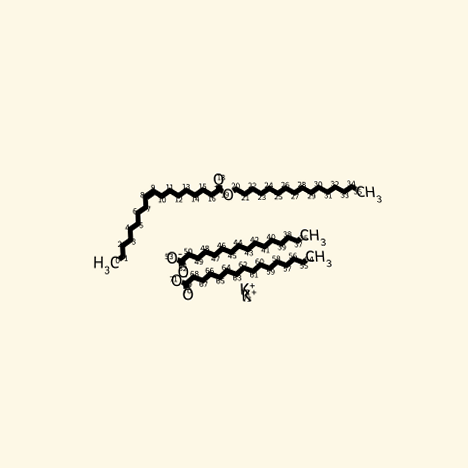 CCCCCCCC/C=C\CCCCCCCC(=O)OCCCCCCCCCCCCCCCC.CCCCCCCCCCCCCCCC(=O)[O-].CCCCCCCCCCCCCCCC(=O)[O-].[K+].[K+]